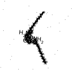 CCCCCCCCCCCCCCCCc1ccc(Sc2cccc3c2C(=O)c2c(Sc4ccc(CCCCCCCCCCCCCCCC)cc4N)cccc2C3=O)c(N)c1